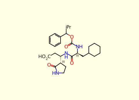 CC(C)C(OC(=O)N[C@@H](CC1CCCCC1)C(=O)NC(CC(=O)O)[C@@H]1CCNC1=O)c1ccccc1